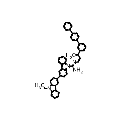 C=C(/C=C\N=C(/N)n1c2ccccc2c2cc(C3=CC4c5ccccc5N(CC)C4C=C3)ccc21)c1cccc(-c2ccc(-c3ccccc3)cc2)c1